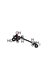 NC(C(=O)NCCCCCCCCNC(=O)c1ccc2c(c1)C(=O)OC21c2ccc(O)cc2Oc2cc(O)ccc21)c1ccccc1